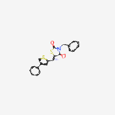 O=C1S/C(=C\c2cc(-c3ccccc3)cs2)C(=O)N1Cc1ccccc1